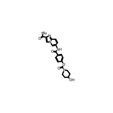 CC(C)(C)C(=O)c1cn2cc(NC(=O)c3ccc(OC(=O)N4CCC(O)CC4)cc3)ccc2n1